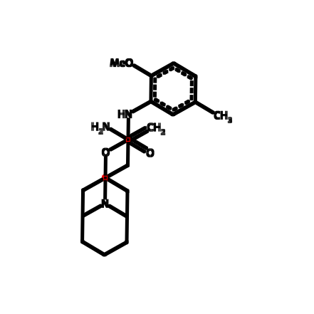 C=C(N)CCN1C2CCCC1CC(OC(=O)Nc1cc(C)ccc1OC)C2